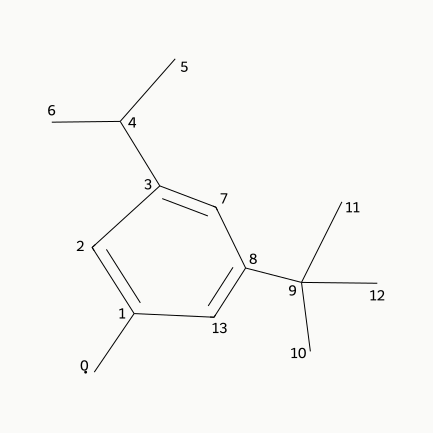 [CH2]c1cc(C(C)C)cc(C(C)(C)C)c1